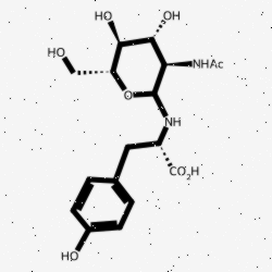 CC(=O)N[C@H]1C(N[C@@H](Cc2ccc(O)cc2)C(=O)O)O[C@H](CO)[C@@H](O)[C@@H]1O